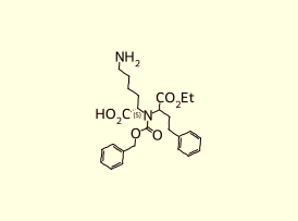 CCOC(=O)C(CCc1ccccc1)N(C(=O)OCc1ccccc1)[C@@H](CCCCN)C(=O)O